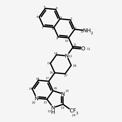 Nc1cc2ccccc2cc1C(=O)N1CCC(c2ccnc3[nH]c(C(F)(F)F)nc23)CC1